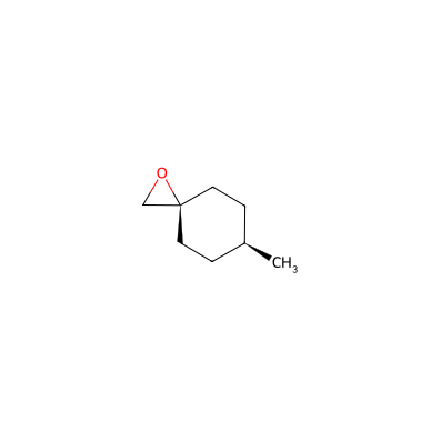 C[C@H]1CC[C@@]2(CC1)CO2